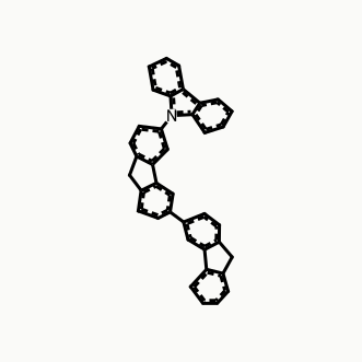 c1ccc2c(c1)Cc1ccc(-c3ccc4c(c3)-c3cc(-n5c6ccccc6c6ccccc65)ccc3C4)cc1-2